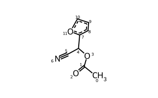 CC(=O)OC(C#N)c1ccco1